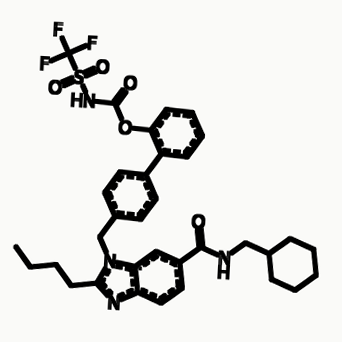 CCCCc1nc2ccc(C(=O)NCC3CCCCC3)cc2n1Cc1ccc(-c2ccccc2OC(=O)NS(=O)(=O)C(F)(F)F)cc1